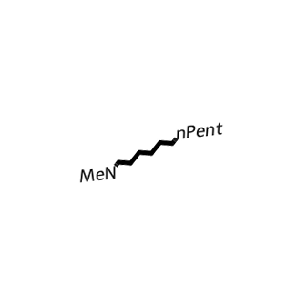 [CH2]CCCCCCCCCCNC